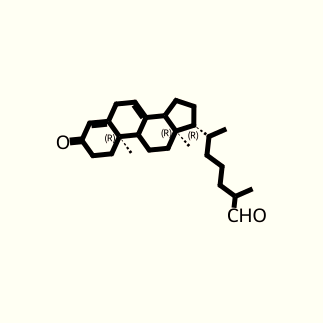 CC(C=O)CCCC(C)[C@H]1CCC2C3=CCC4=CC(=O)CC[C@]4(C)C3CC[C@@]21C